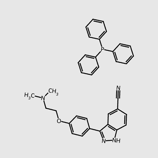 CN(C)CCOc1ccc(-c2n[nH]c3ccc(C#N)cc23)cc1.c1ccc(P(c2ccccc2)c2ccccc2)cc1